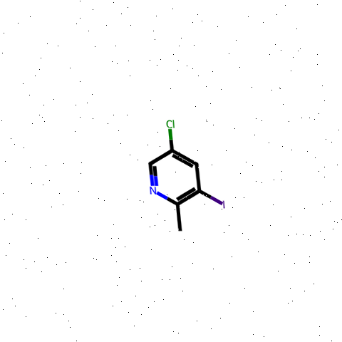 Cc1ncc(Cl)cc1I